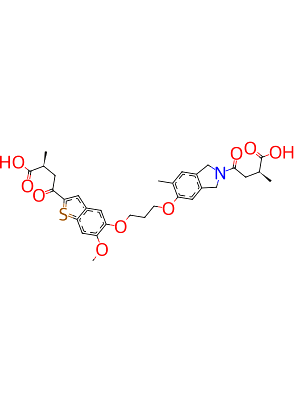 COc1cc2sc(C(=O)C[C@H](C)C(=O)O)cc2cc1OCCCOc1cc2c(cc1C)CN(C(=O)C[C@H](C)C(=O)O)C2